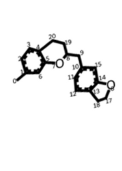 Cc1ccc2c(c1)OC(Cc1ccc3c(c1)OCC3)CC2